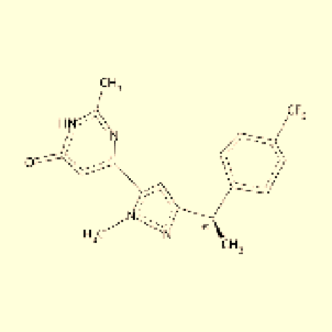 Cc1nc(-c2cc([C@H](C)c3ccc(C(F)(F)F)cc3)nn2C)cc(=O)[nH]1